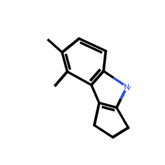 Cc1ccc2c(c1C)C1=C(CCC1)[N]2